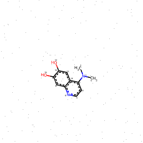 CN(C)c1[c]cnc2cc(O)c(O)cc12